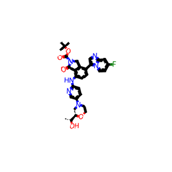 C[C@@H](O)[C@@H]1CN(c2ccc(Nc3ccc(-c4cnc5cc(F)ccn45)c4c3C(=O)N(C(=O)OC(C)(C)C)C4)nc2)CCO1